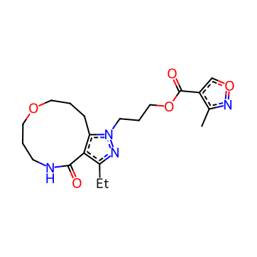 CCc1nn(CCCOC(=O)c2conc2C)c2c1C(=O)NCCCOCCC2